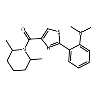 CC1CCCC(C)N1C(=O)c1csc(-c2ccccc2N(C)C)n1